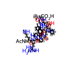 CC[C@H](C)[C@H](NC(=O)[C@@H](Cc1ccc2ccccc2c1)NC(=O)[C@H](CO)NC(=O)C(C)(Cc1ccccc1)NC(=O)CNC(=O)[C@@H]1CCCN1C(=O)C1CCCN1C(=O)[C@H](CCCNC(=N)N)NC(=O)[C@H](CCCCN)NC(C)=O)C(=O)O